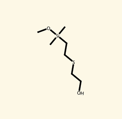 CO[Si](C)(C)CCSCCO